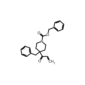 C=CC(=O)C1(Cc2ccccc2)CCN(C(=O)OCc2ccccc2)CC1